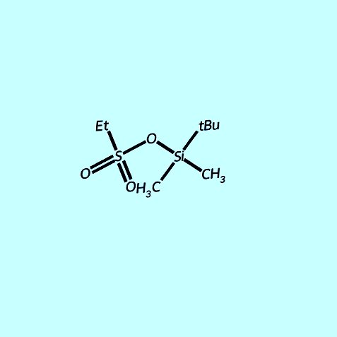 CCS(=O)(=O)O[Si](C)(C)C(C)(C)C